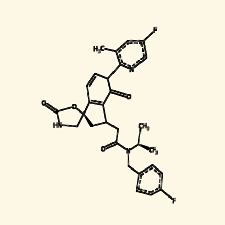 Cc1cc(F)cnc1C1C=CC2=C(C1=O)C(CC(=O)N(Cc1ccc(F)cc1)[C@@H](C)C(F)(F)F)C[C@]21CNC(=O)O1